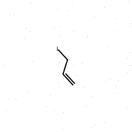 C=C[CH]I